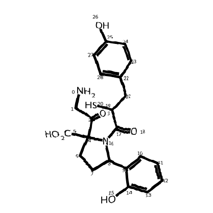 NCC(=O)C1(C(=O)O)CCC(c2ccccc2O)N1C(=O)C(S)Cc1ccc(O)cc1